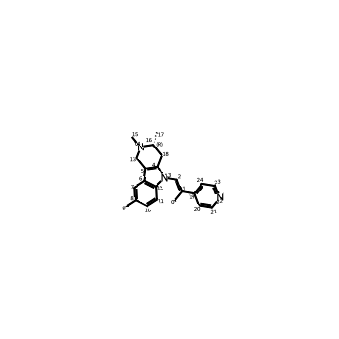 CC(=Cn1c2c(c3cc(C)ccc31)CN(C)[C@H](C)C2)c1ccncc1